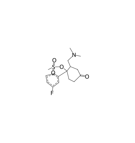 CN(C)CC1CC(=O)CCC1(OS(C)(=O)=O)c1cccc(F)c1